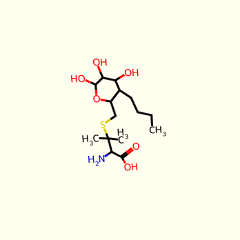 CCCCC1C(CSC(C)(C)C(N)C(=O)O)OC(O)C(O)C1O